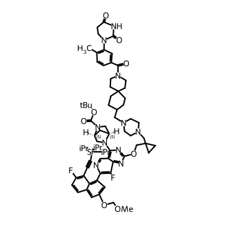 COCOc1cc(-c2ncc3c(N4C[C@@H]5C[C@H]4CN5C(=O)OC(C)(C)C)nc(OCC4(CN5CCN(CC6CCC7(CC6)CCN(C(=O)c6ccc(C)c(N8CCC(=O)NC8=O)c6)CC7)CC5)CC4)nc3c2F)c2c(C#C[Si](C(C)C)(C(C)C)C(C)C)c(F)ccc2c1